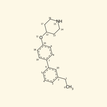 CCc1cccc(-c2ccc(OC3CCNCC3)cc2)c1